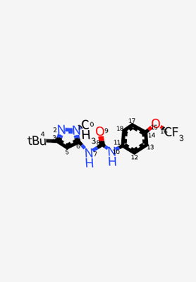 Cn1nc(C(C)(C)C)cc1NC(=O)Nc1ccc(OC(F)(F)F)cc1